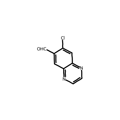 O=Cc1cc2nccnc2cc1Cl